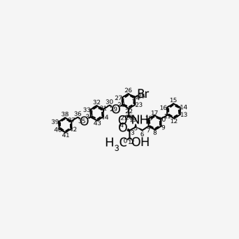 CC(O)C(=O)[C@H](Cc1ccc(-c2ccccc2)cc1)NC(=O)c1cc(Br)ccc1OCc1ccc(OCc2ccccc2)cc1